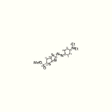 CCN(CC)c1ccc(N=Nc2nc3sc(C(=O)OC)cc3s2)cc1